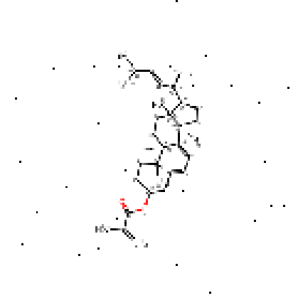 C=C(C)C(=O)O[C@H]1CC[C@@]2(C)C(=CC=C3[C@@H]4CC[C@H]([C@H](C)C=C[C@H](C)C(C)C)[C@@]4(C)CC[C@@H]32)C1